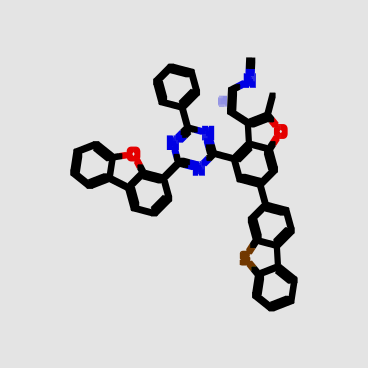 C=N/C=C\c1c(C)oc2cc(-c3ccc4c(c3)sc3ccccc34)cc(-c3nc(-c4ccccc4)nc(-c4cccc5c4oc4ccccc45)n3)c12